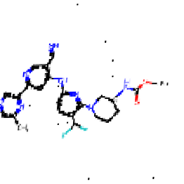 Cc1cncc(-c2cc(Nc3ccc(C(F)F)c(N4CCC[C@H](NC(=O)OC(C)(C)C)C4)n3)c(C=N)cn2)n1